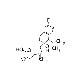 CC(C)C1c2ccc(F)cc2CCC1(O)CCN(C)CCC1(C(=O)O)CC1